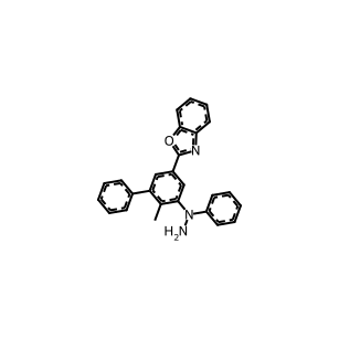 Cc1c(-c2ccccc2)cc(-c2nc3ccccc3o2)cc1N(N)c1ccccc1